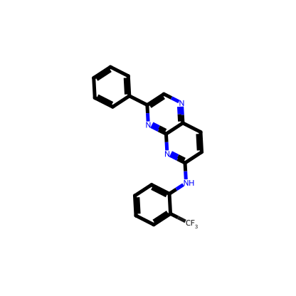 FC(F)(F)c1ccccc1Nc1ccc2ncc(-c3ccccc3)nc2n1